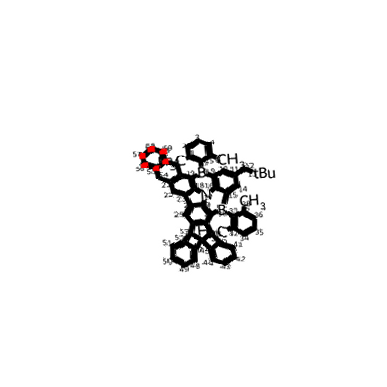 Cc1cccc(C)c1B1c2cc(CC(C)(C)C)cc3c2-n2c4c1c1c(cc4c4cc5c(c(c42)B3c2c(C)cccc2C)C2c3ccccc3C23c2ccccc2C53)C2c3ccccc3C1c1ccccc12